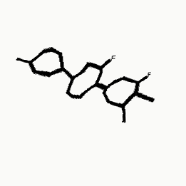 CC1CCC(C2CCC(C3CC(C)C(C)C(F)C3)C(F)C2)CC1